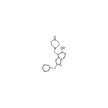 Oc1ccc2oc(Cc3ccccc3)cc2c1CN1CCNCC1